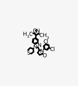 Cc1noc(C)c1-c1ccc2c(c1)nc(C1CCC(=O)N1c1cc(Cl)cc(Cl)c1)n2C1CCSCC1